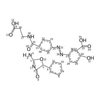 NC1=NC(=O)C(c2ccccc2)O1.O=C(O)CCNC(=O)c1ccc(/N=N/c2ccc(O)c(C(=O)O)c2)cc1